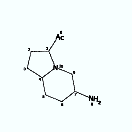 CC(=O)C1CCC2CCC(N)CN21